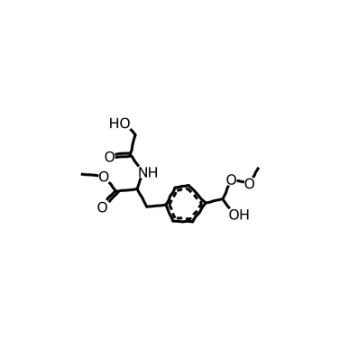 COOC(O)c1ccc(CC(NC(=O)CO)C(=O)OC)cc1